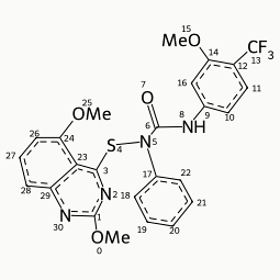 COc1nc(SN(C(=O)Nc2ccc(C(F)(F)F)c(OC)c2)c2ccccc2)c2c(OC)cccc2n1